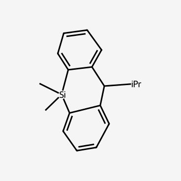 CC(C)C1c2ccccc2[Si](C)(C)c2ccccc21